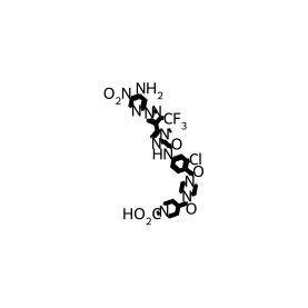 Cn1c(-c2cn(-c3cc(N)c([N+](=O)[O-])cn3)nc2C(F)(F)F)cnc1C(=O)Nc1ccc(C(=O)N2CCN(C(=O)C3CCN(C(=O)O)CC3)CC2)c(Cl)c1